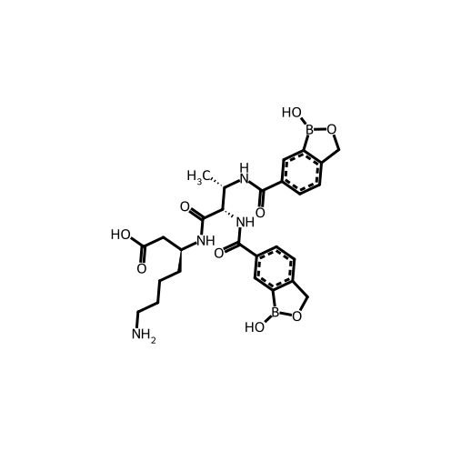 C[C@H](NC(=O)c1ccc2c(c1)B(O)OC2)[C@H](NC(=O)c1ccc2c(c1)B(O)OC2)C(=O)N[C@@H](CCCCN)CC(=O)O